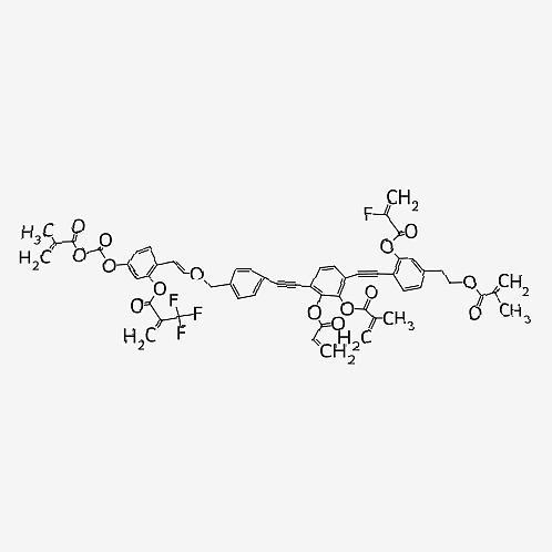 C=CC(=O)Oc1c(C#Cc2ccc(CO/C=C/c3ccc(OC(=O)OC(=O)C(=C)C)cc3OC(=O)C(=C)C(F)(F)F)cc2)ccc(C#Cc2ccc(CCOC(=O)C(=C)C)cc2OC(=O)C(=C)F)c1OC(=O)C(=C)C